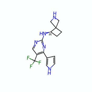 FC(F)(F)c1cnc(N[C@@H]2CCC23CNC3)nc1-c1cc[nH]c1